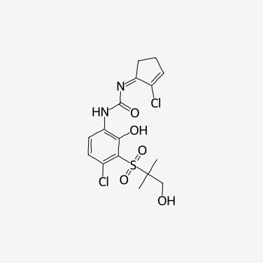 CC(C)(CO)S(=O)(=O)c1c(Cl)ccc(NC(=O)/N=C2/CCC=C2Cl)c1O